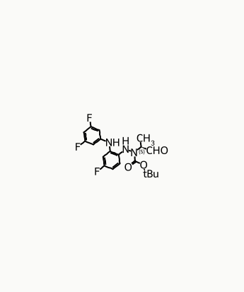 C[C@@H](C=O)N(Nc1ccc(F)cc1Nc1cc(F)cc(F)c1)C(=O)OC(C)(C)C